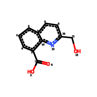 O=C(O)c1cccc2ccc(CO)nc12